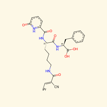 CC(C)C=C(C#N)C(=O)NCCCC[C@H](NC(=O)c1cccc(=O)[nH]1)C(=O)N[C@@H](Cc1ccccc1)B(O)O